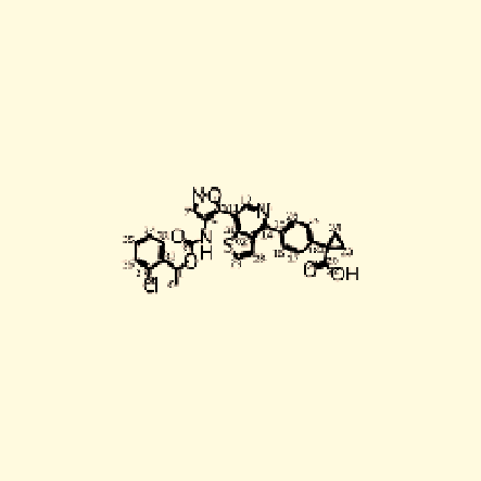 CC(OC(=O)Nc1cnoc1-c1cnc(-c2ccc(C3(C(=O)O)CC3)cc2)c2ccsc12)c1ccccc1Cl